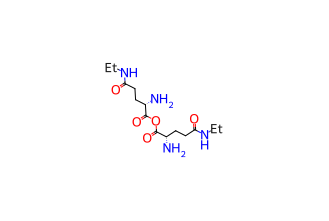 CCNC(=O)CC[C@H](N)C(=O)OC(=O)[C@@H](N)CCC(=O)NCC